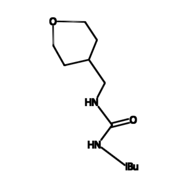 CCC(C)NC(=O)NCC1CCOCC1